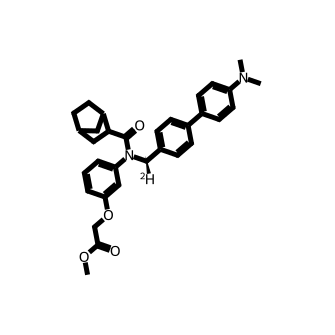 [2H][C@H](c1ccc(-c2ccc(N(C)C)cc2)cc1)N(C(=O)C1CC2CCC1C2)c1cccc(OCC(=O)OC)c1